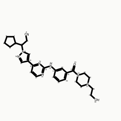 N#CCC(C1CCCC1)n1cc(-c2ccnc(Nc3cccc(C(=O)N4CCN(CCO)CC4)c3)n2)cn1